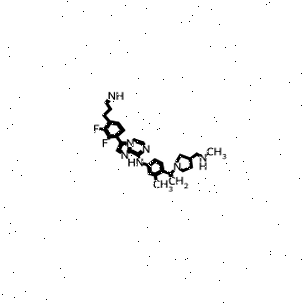 C=C(c1ccc(Nc2nccn3c(-c4ccc(CCC=N)c(F)c4F)cnc23)cc1C)N1CCC(CNC)CC1